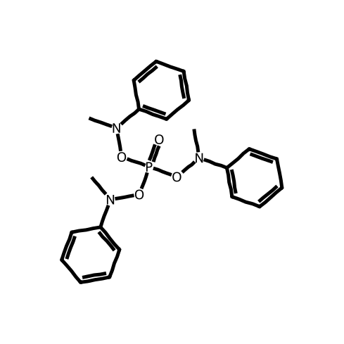 CN(OP(=O)(ON(C)c1ccccc1)ON(C)c1ccccc1)c1ccccc1